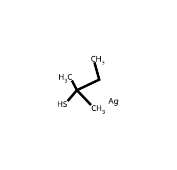 CCC(C)(C)S.[Ag]